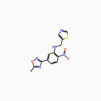 Cc1nc(-c2ccc([N+](=O)[O-])c(NCc3cncs3)c2)no1